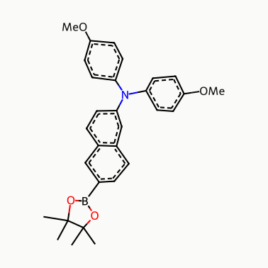 COc1ccc(N(c2ccc(OC)cc2)c2ccc3cc(B4OC(C)(C)C(C)(C)O4)ccc3c2)cc1